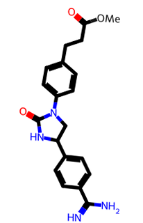 COC(=O)CCc1ccc(N2CC(c3ccc(C(=N)N)cc3)NC2=O)cc1